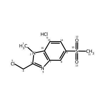 Cl.Cn1c(CCl)nc2cc(S(C)(=O)=O)ccc21